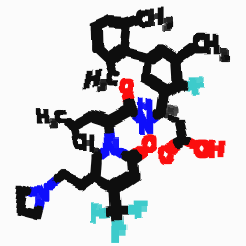 Cc1cc(-c2c(C)cccc2C)cc([C@H](CC(=O)O)NC(=O)C(CC(C)C)n2cc(CCN3CCC3)c(C(F)(F)F)cc2=O)c1F